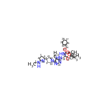 CCNc1cccc(C2CCN(c3ncnc(NCC(NC(=O)OCc4ccccc4)C(=O)OC(C)(C)C)c3C)CC2)n1